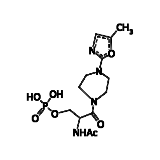 CC(=O)NC(COP(=O)(O)O)C(=O)N1CCN(c2ncc(C)o2)CC1